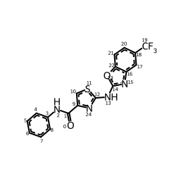 O=C(Nc1ccccc1)c1csc(Nc2nc3cc(C(F)(F)F)ccc3o2)n1